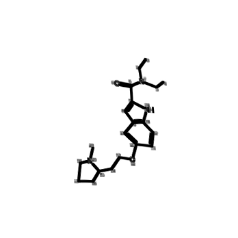 CCN(CC)C(=O)c1cc2cc(OCCC3CCCN3C)ccc2[nH]1